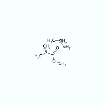 C=C(C)C(=O)OC.C[SiH2][SiH3]